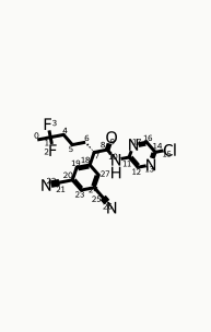 CC(F)(F)CCC[C@H](C(=O)Nc1cnc(Cl)cn1)c1cc(C#N)cc(C#N)c1